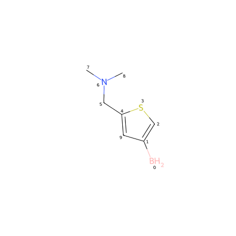 Bc1csc(CN(C)C)c1